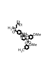 CCN(CC)CCN(C)C(=O)c1ccc(Nc2nccc(N(C(=O)Oc3cc(C)ccc3OC)c3ccc(OC)cc3OC)n2)cc1